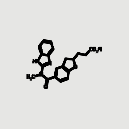 CN(C(=O)c1ccc2c(c1)CC(CCC(=O)O)O2)c1nc2ccccc2[nH]1